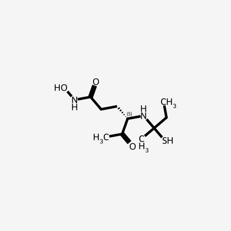 CCC(C)(S)N[C@@H](CCC(=O)NO)C(C)=O